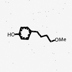 COCCCCc1ccc(O)cc1